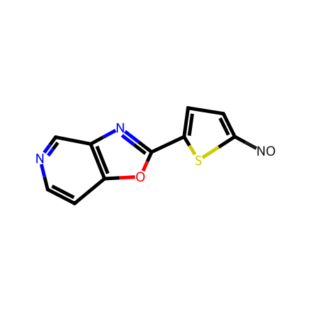 O=Nc1ccc(-c2nc3cnccc3o2)s1